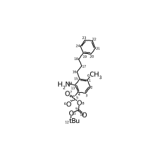 Cc1ccc(S(=O)(=O)OC(=O)OC(C)(C)C)c(N)c1CCCc1ccccc1